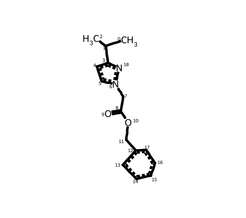 CC(C)c1ccn(CC(=O)OCc2ccccc2)n1